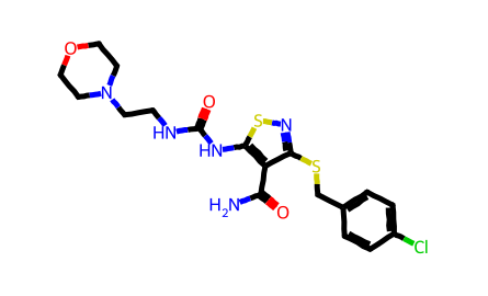 NC(=O)c1c(SCc2ccc(Cl)cc2)nsc1NC(=O)NCCN1CCOCC1